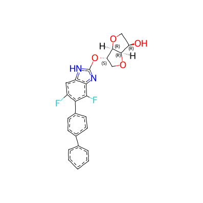 O[C@@H]1CO[C@H]2[C@@H]1OC[C@@H]2Oc1nc2c(F)c(-c3ccc(-c4ccccc4)cc3)c(F)cc2[nH]1